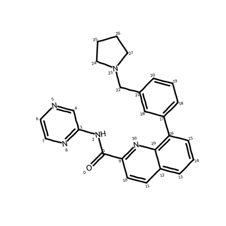 O=C(Nc1cnccn1)c1ccc2cccc(-c3cccc(CN4CCCC4)c3)c2n1